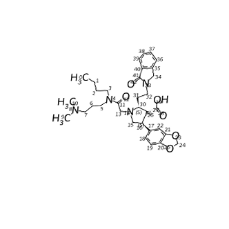 CCCCN(CCCN(C)C)C(=O)CN1C[C@H](c2ccc3c(c2)OCO3)[C@@H](C(=O)O)[C@@H]1CCN1Cc2ccccc2C1=O